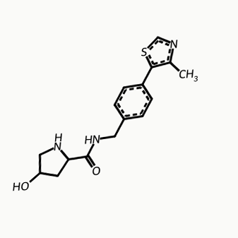 Cc1ncsc1-c1ccc(CNC(=O)C2CC(O)CN2)cc1